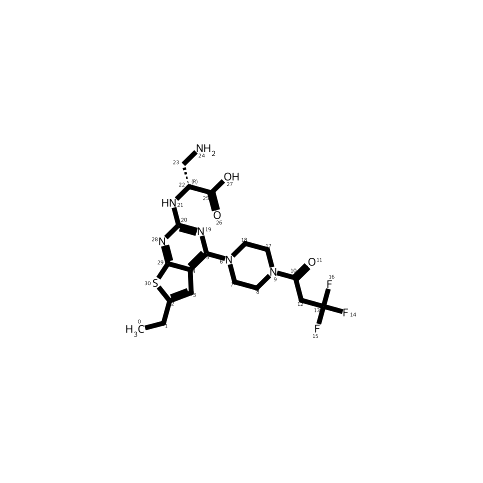 CCc1cc2c(N3CCN(C(=O)CC(F)(F)F)CC3)nc(N[C@H](CN)C(=O)O)nc2s1